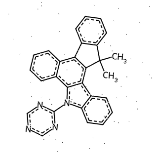 CC1(C)c2ccccc2-c2c1c1c3ccccc3n(-c3ncncn3)c1c1ccccc21